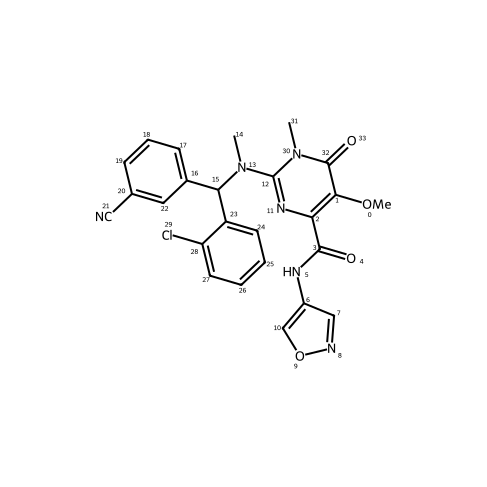 COc1c(C(=O)Nc2cnoc2)nc(N(C)C(c2cccc(C#N)c2)c2ccccc2Cl)n(C)c1=O